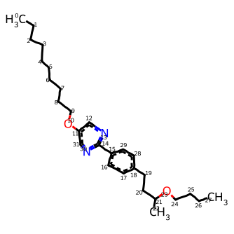 CCCCCCCCCCOc1cnc(-c2ccc(CCC(C)OCCCC)cc2)nc1